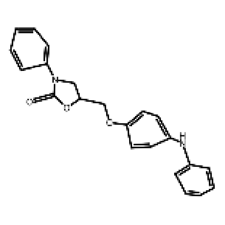 O=C1OC(COc2ccc(Nc3ccccc3)cc2)CN1c1ccccc1